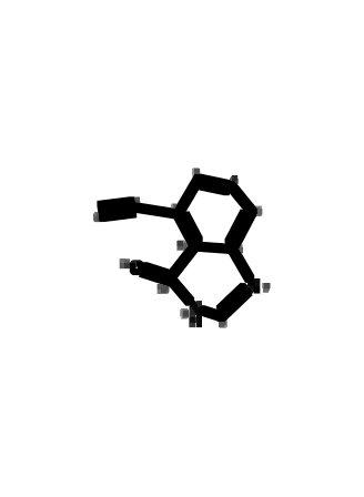 C#Cc1cccc2nc[nH]c(=O)c12